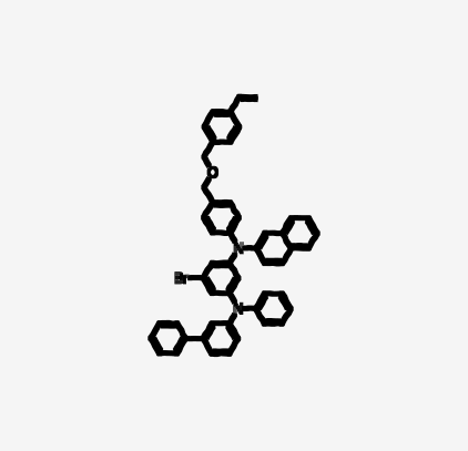 C=Cc1ccc(COCc2ccc(N(c3cc(Br)cc(N(c4ccccc4)c4cccc(-c5ccccc5)c4)c3)c3ccc4ccccc4c3)cc2)cc1